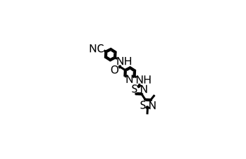 Cc1nc(C)c(-c2csc(Nc3ccc(C(=O)Nc4ccc(C#N)cc4)cn3)n2)s1